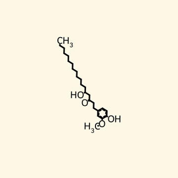 CCCCCCCCCCCCCC(O)CC(=O)CCc1ccc(O)c(OC)c1